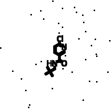 CC(C)(C)CNC(=O)c1ccc(Cl)nc1